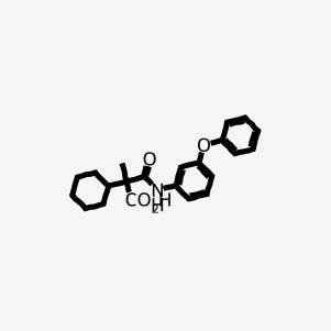 CC(C(=O)O)(C(=O)Nc1cccc(Oc2ccccc2)c1)C1CCCCC1